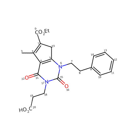 CCOC(=O)C1=C(C)c2c(n(CCc3ccccc3)c(=O)n(CCC(=O)O)c2=O)C1